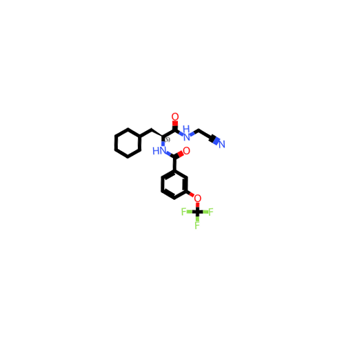 N#CCNC(=O)[C@H](CC1CCCCC1)NC(=O)c1cccc(OC(F)(F)F)c1